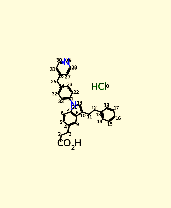 Cl.O=C(O)CCc1ccc2c(c1)c(CCc1ccccc1)cn2-c1ccc(Cc2ccncc2)cc1